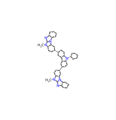 Cn1c2ccc(-c3ccc4c(c3)c3cc(-c5ccc6c(c5)n5c7ccccc7nc5n6C)ccc3n4-c3ccccc3)cc2n2c3ccccc3nc12